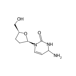 NC1C=CN([C@H]2CC[C@@H](CO)O2)C(=O)N1